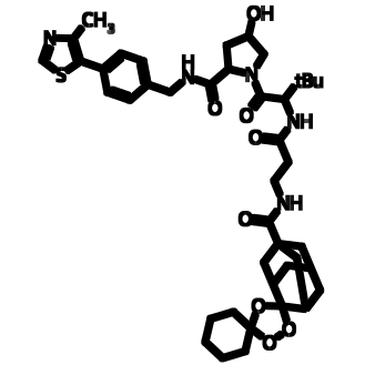 Cc1ncsc1-c1ccc(CNC(=O)C2CC(O)CN2C(=O)C(NC(=O)CCNC(=O)C23CC4CC(C2)C2(OOC5(CCCCC5)O2)C(C4)C3)C(C)(C)C)cc1